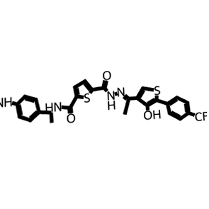 CC(=O)Nc1ccc(C(C)NC(=O)c2ccc(C(=O)N/N=C(\C)c3csc(-c4ccc(C(F)(F)F)cc4)c3O)s2)cc1